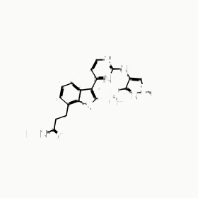 COc1nn(C)cc1Nc1nccc(-c2c[nH]c3c(CCC(N)=O)cccc23)n1